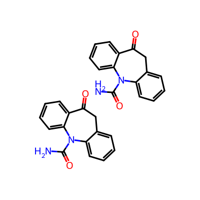 NC(=O)N1c2ccccc2CC(=O)c2ccccc21.NC(=O)N1c2ccccc2CC(=O)c2ccccc21